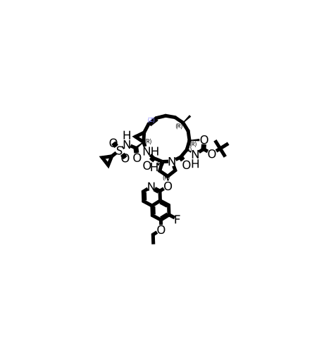 CCOc1cc2ccnc(O[C@@H]3C[C@H]4C(=O)N[C@]5(C(=O)NS(=O)(=O)C6CC6)CC5/C=C\CC[C@@H](C)C[C@@H](C)[C@H](NC(=O)OC(C)(C)C)C(=O)N4C3)c2cc1F